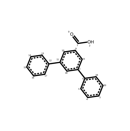 O=CO.c1ccc(-c2cccc(-c3ccccc3)c2)cc1